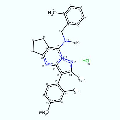 CCCN(Cc1ccccc1C)c1c2c(nc3c(-c4ccc(OC)cc4C)c(C)nn13)CCC2.Cl